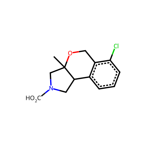 CC12CN(C(=O)O)CC1c1cccc(Cl)c1CO2